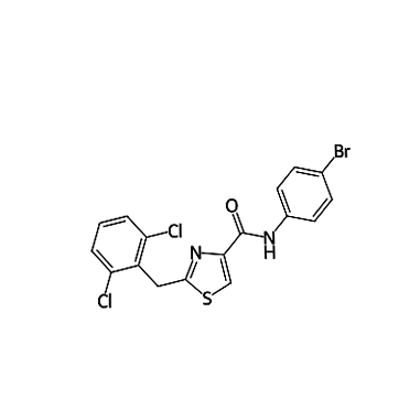 O=C(Nc1ccc(Br)cc1)c1csc(Cc2c(Cl)cccc2Cl)n1